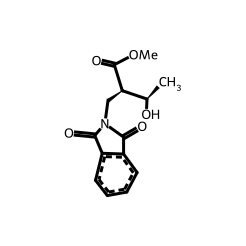 COC(=O)[C@H](CN1C(=O)c2ccccc2C1=O)[C@@H](C)O